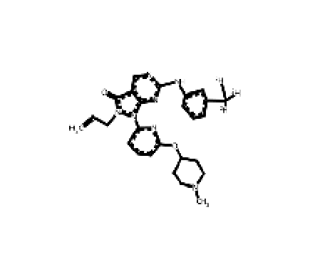 [2H]C([2H])([2H])c1cccc(Nc2ncc3c(=O)n(CC=C)n(-c4cccc(OC5CCN(C)CC5)n4)c3n2)c1